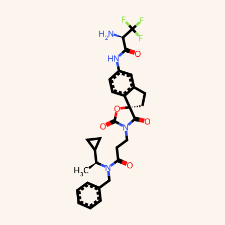 C[C@@H](C1CC1)N(Cc1ccccc1)C(=O)CCN1C(=O)O[C@]2(CCc3cc(NC(=O)[C@@H](N)C(F)(F)F)ccc32)C1=O